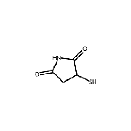 O=C1CC(S)C(=O)N1